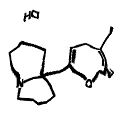 Cc1cc(C23CCCN2CCC3)on1.Cl